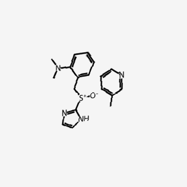 CN(C)c1ccccc1C[S@@+]([O-])c1ncc[nH]1.Cc1cccnc1